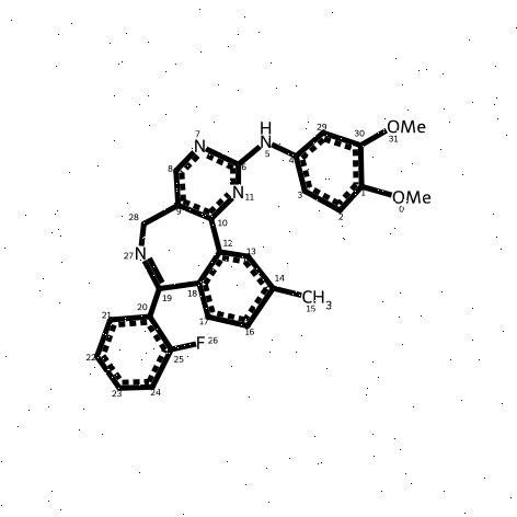 COc1ccc(Nc2ncc3c(n2)-c2cc(C)ccc2C(c2ccccc2F)=NC3)cc1OC